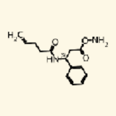 C=CCCC(=O)N[C@@H](CC(=O)ON)c1ccccc1